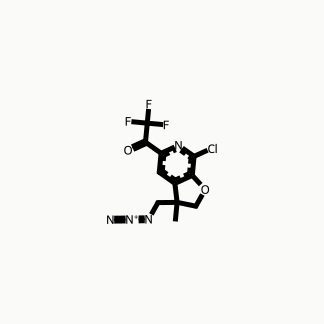 CC1(CN=[N+]=[N-])COc2c1cc(C(=O)C(F)(F)F)nc2Cl